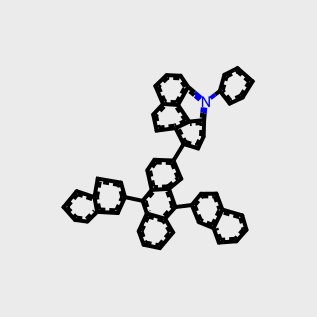 c1ccc(-n2c3cccc4ccc5c(-c6ccc7c(-c8ccc9ccccc9c8)c8ccccc8c(-c8ccc9ccccc9c8)c7c6)ccc2c5c43)cc1